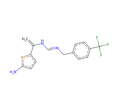 C=C(N/C=N/Cc1ccc(C(F)(F)F)cc1)c1ccc(N)s1